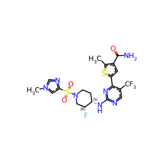 Cc1sc(-c2nc(N[C@H]3CCN(S(=O)(=O)c4cn(C)cn4)C[C@H]3F)ncc2C(F)(F)F)cc1C(N)=O